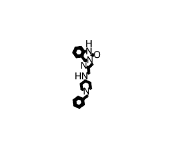 O=C1Nc2ccccc2C2=NC(CNC3CCN(Cc4ccccc4)CC3)CN12